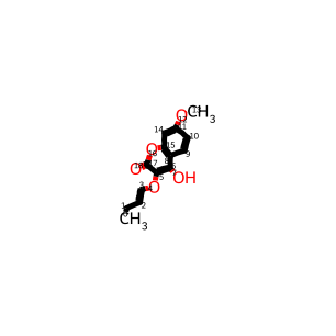 CC/C=C/Oc1c(O)c2ccc(OC)cc2oc1=O